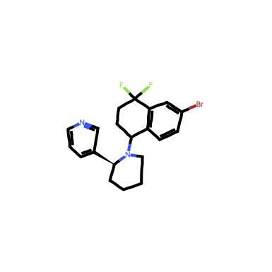 FC1(F)CCC(N2CCCC[C@H]2c2cccnc2)c2ccc(Br)cc21